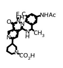 CC(=O)Nc1cc(C(C)Nc2nn(C)c(=O)c3cnc(C4CCCN(C(=O)O)C4)cc23)cc(C(F)(F)F)c1